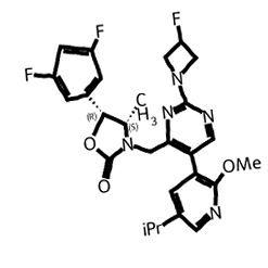 COc1ncc(C(C)C)cc1-c1cnc(N2CC(F)C2)nc1CN1C(=O)O[C@H](c2cc(F)cc(F)c2)[C@@H]1C